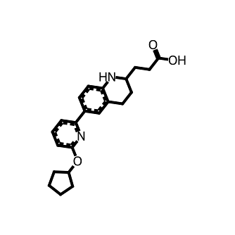 O=C(O)CCC1CCc2cc(-c3cccc(OC4CCCC4)n3)ccc2N1